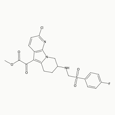 COC(=O)C(=O)c1c2n(c3nc(Cl)ccc13)CC(NCS(=O)(=O)c1ccc(F)cc1)CC2